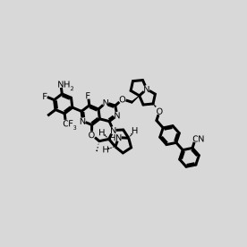 Cc1c(F)c(N)cc(-c2nc3c4c(nc(OC[C@@]56CCCN5C[C@H](OCc5ccc(-c7ccccc7C#N)cc5)C6)nc4c2F)N2C[C@H]4CC[C@H](N4)[C@H]2[C@H](C)O3)c1C(F)(F)F